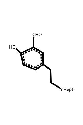 CCCCCCCCCc1ccc(O)c(C=O)c1